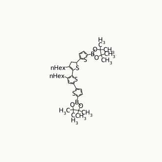 CCCCCCC1=C(c2sc(-c3ccc(B4OC(C)(C)C(C)(C)O4)s3)cc2CCCCCC)SC(c2ccc(B3OC(C)(C)C(C)(C)O3)s2)C1